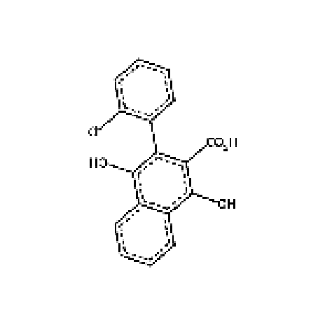 O=C(O)c1c(-c2ccccc2Cl)c(O)c2ccccc2c1O